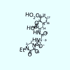 CCN1CCN([S+]([O-])N[C@@H](C)C(=O)N[C@H]2Cc3cccc(C(=O)O)c3OB2O)C(=O)C1=O